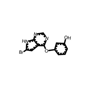 Oc1cccc(Oc2ncnc3[nH]c(Br)cc23)c1